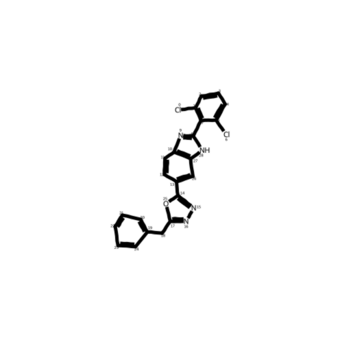 Clc1cccc(Cl)c1-c1nc2ccc(-c3nnc(Cc4ccccc4)o3)cc2[nH]1